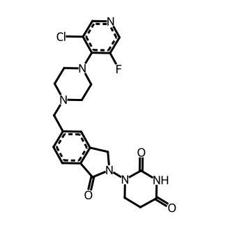 O=C1CCN(N2Cc3cc(CN4CCN(c5c(F)cncc5Cl)CC4)ccc3C2=O)C(=O)N1